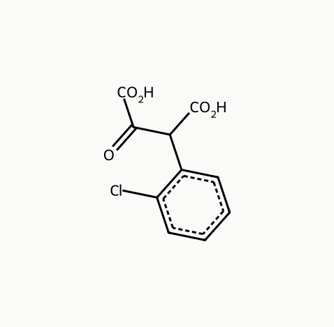 O=C(O)C(=O)C(C(=O)O)c1ccccc1Cl